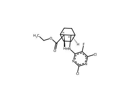 CCOC(=O)[C@@H]1C2CCC(CC2)[C@H]1Nc1nc(Cl)nc(Cl)c1F